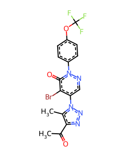 CC(=O)c1nnn(-c2cnn(-c3ccc(OC(F)(F)F)cc3)c(=O)c2Br)c1C